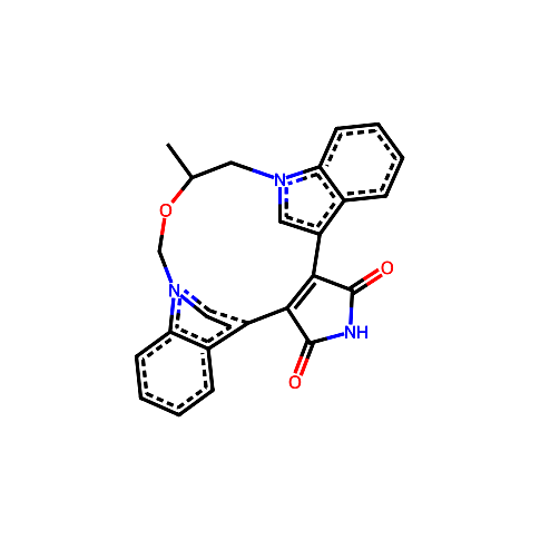 CC1Cn2cc(c3ccccc32)C2=C(C(=O)NC2=O)c2cn(c3ccccc23)CO1